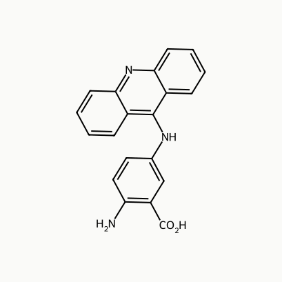 Nc1ccc(Nc2c3ccccc3nc3ccccc23)cc1C(=O)O